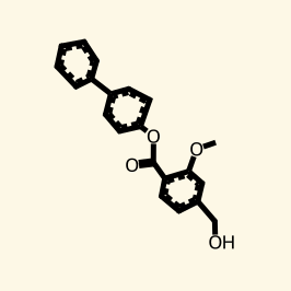 COc1cc(CO)ccc1C(=O)Oc1ccc(-c2ccccc2)cc1